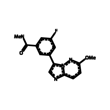 CNC(=O)c1cc(F)cc(-c2cnc3ccc(OC)nn23)c1